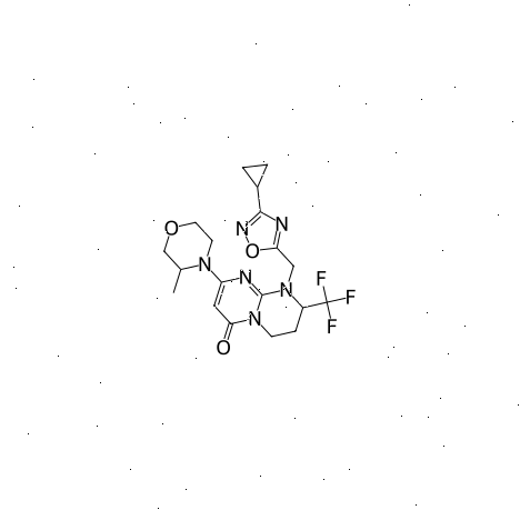 CC1COCCN1c1cc(=O)n2c(n1)N(Cc1nc(C3CC3)no1)C(C(F)(F)F)CC2